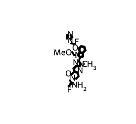 COCCn1c(-c2nc3cc4c(nc3n2C)CCN(C[C@H](N)CF)C4=O)cc2cccc(OC(F)Cn3ccnc3)c21